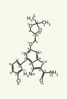 CC1(C)OC[C@H](COc2nc(-c3cccc(Cl)c3)c3c(N)c(C(N)=O)sc3n2)O1